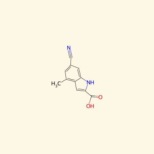 Cc1cc(C#N)cc2[nH]c(C(=O)O)cc12